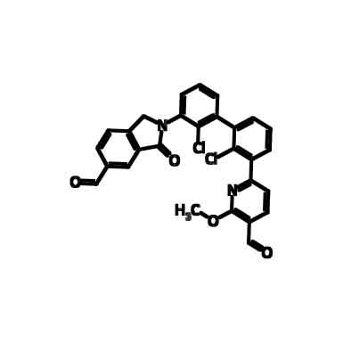 COc1nc(-c2cccc(-c3cccc(N4Cc5ccc(C=O)cc5C4=O)c3Cl)c2Cl)ccc1C=O